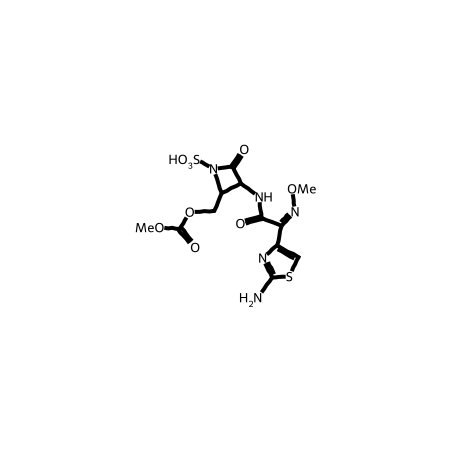 CO/N=C(\C(=O)NC1C(=O)N(S(=O)(=O)O)C1COC(=O)OC)c1csc(N)n1